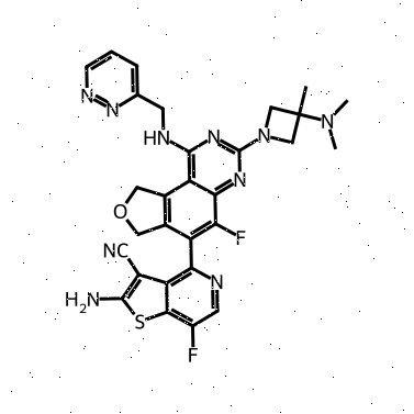 CN(C)C1(C)CN(c2nc(NCc3cccnn3)c3c4c(c(-c5ncc(F)c6sc(N)c(C#N)c56)c(F)c3n2)COC4)C1